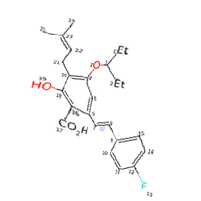 CCC(CC)Oc1cc(/C=C/c2ccc(F)cc2)c(C(=O)O)c(O)c1CC=C(C)C